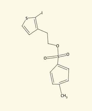 Cc1ccc(S(=O)(=O)OCCc2ccsc2I)cc1